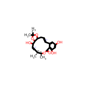 C[C@@H]1/C=C\C(O)C2OC(C)(C)OC2C/C=C/c2cc(O)cc(O)c2C(=O)O[C@H]1C